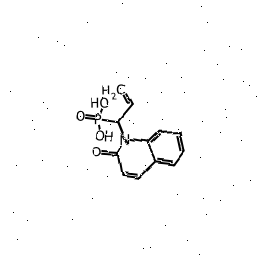 C=CC(n1c(=O)ccc2ccccc21)P(=O)(O)O